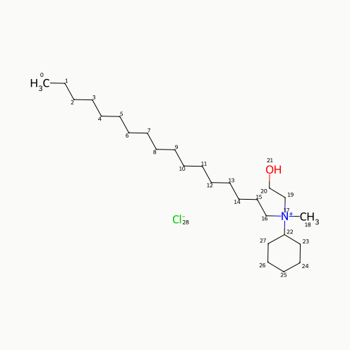 CCCCCCCCCCCCCCCCC[N+](C)(CCO)C1CCCCC1.[Cl-]